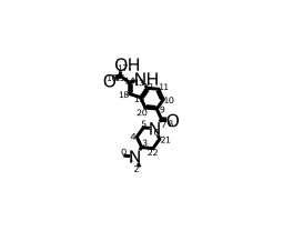 CN(C)C1CCN(C(=O)c2ccc3[nH]c(C(=O)O)cc3c2)CC1